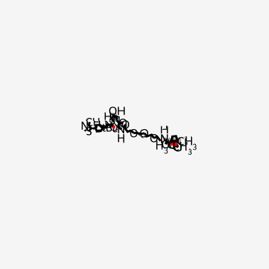 Cc1ncsc1-c1ccc(CNC(=O)[C@@H]2C[C@@H](O)CN2C(=O)[C@@H](NC(=O)CCOCCOCCOCCNC(=O)[C@@]23CC[C@](C)(C(=O)O2)C3(C)C)C(C)(C)C)cc1